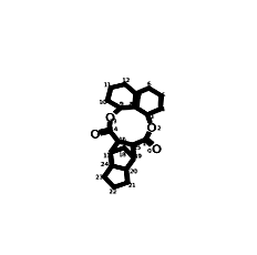 O=C1OC2CCCC3=C2C(CCC3)OC(=O)C2C3CC(C4CCCC43)C12